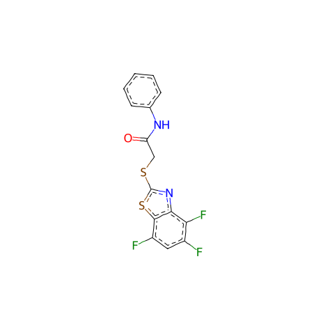 O=C(CSc1nc2c(F)c(F)cc(F)c2s1)Nc1ccccc1